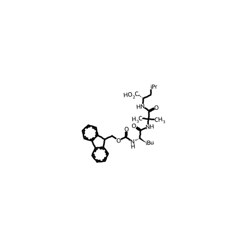 CC[C@H](C)[C@H](NC(=O)OCC1c2ccccc2-c2ccccc21)C(=O)NC(C)(C)C(=O)N[C@@H](CC(C)C)C(=O)O